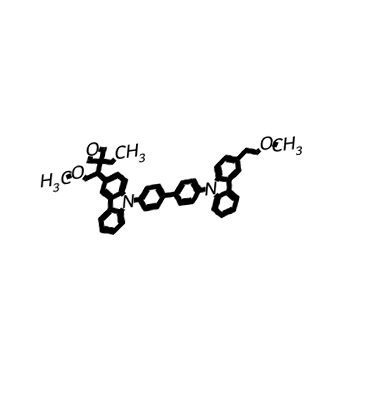 CCC1(C(COC)c2ccc3c(c2)c2ccccc2n3-c2ccc(-c3ccc(-n4c5ccccc5c5cc(CCOC)ccc54)cc3)cc2)COC1